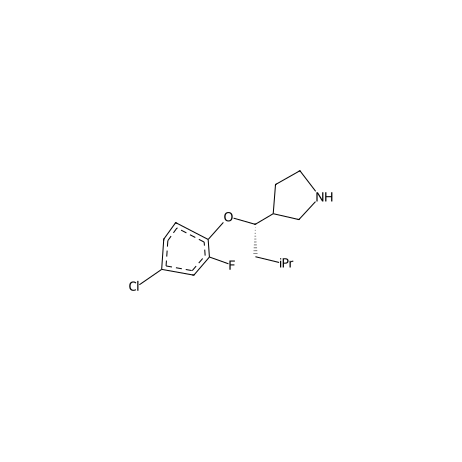 CC(C)C[C@H](Oc1ccc(Cl)cc1F)C1CCNC1